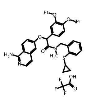 CCOc1cc(C(Oc2ccc3c(N)nccc3c2)C(=O)N(C)Cc2ccccc2SC2CC2)ccc1OC(C)C.O=C(O)C(F)(F)F